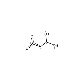 O=S(=O)=CC(O)O